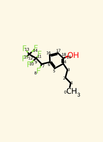 CCCCc1cc(C(F)C(F)(F)C(F)(F)F)ccc1O